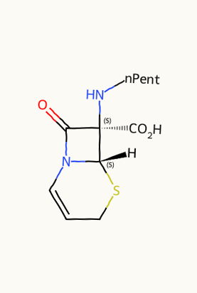 CCCCCN[C@]1(C(=O)O)C(=O)N2C=CCS[C@H]21